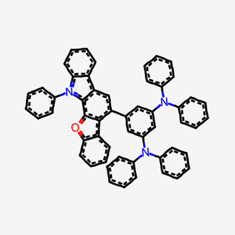 c1ccc(N(c2ccccc2)c2cc(-c3cc4c5ccccc5n(-c5ccccc5)c4c4oc5ccccc5c34)cc(N(c3ccccc3)c3ccccc3)c2)cc1